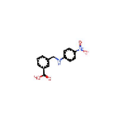 O=C(O)c1cccc(CNc2ccc([N+](=O)[O-])cc2)c1